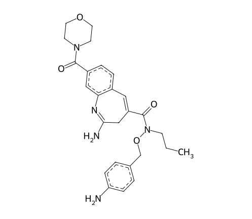 CCCN(OCc1ccc(N)cc1)C(=O)C1=Cc2ccc(C(=O)N3CCOCC3)cc2N=C(N)C1